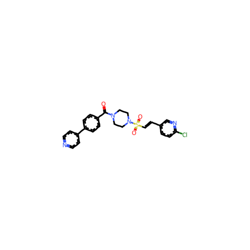 O=C(c1ccc(-c2ccncc2)cc1)N1CCN(S(=O)(=O)/C=C/c2ccc(Cl)nc2)CC1